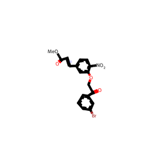 COC(=O)/C=C/c1ccc([N+](=O)[O-])c(OCC(=O)c2cccc(Br)c2)c1